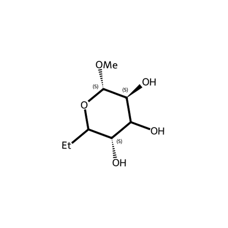 CCC1O[C@H](OC)[C@@H](O)C(O)[C@@H]1O